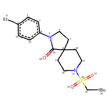 CCc1ccc(N2CCC3(CCN(S(=O)(=O)CC(C)(C)C)CC3)C2=O)cc1